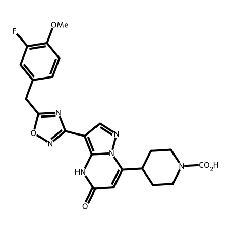 COc1ccc(Cc2nc(-c3cnn4c(C5CCN(C(=O)O)CC5)cc(=O)[nH]c34)no2)cc1F